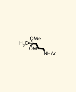 CO[Si](C)(CCCNC(C)=O)OC